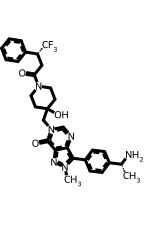 C[C@@H](N)c1ccc(-c2c3ncn(CC4(O)CCN(C(=O)C[C@H](c5ccccc5)C(F)(F)F)CC4)c(=O)c3nn2C)cc1